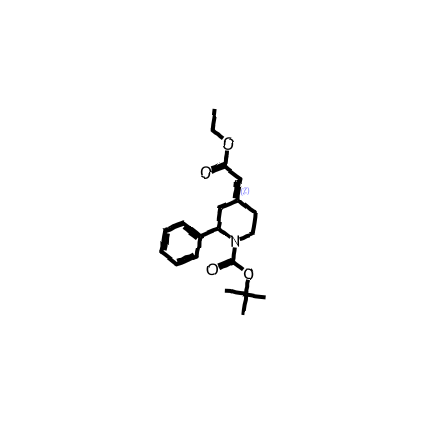 CCOC(=O)/C=C1/CCN(C(=O)OC(C)(C)C)C(c2ccccc2)C1